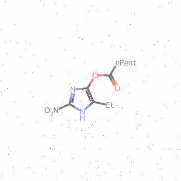 CCCCCC(=O)Oc1nc([N+](=O)[O-])[nH]c1CC